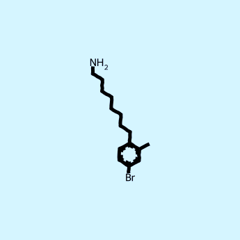 Cc1cc(Br)ccc1CCCCCCCCN